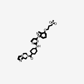 CS(=O)(=O)CCCOc1cccc2c1cnn2-c1ccnc(NC2CCC(C(=O)N3CCn4ccnc4C3)CC2)n1